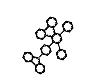 c1ccc(-c2cc(-c3ccccc3)c3c4ccccc4c4ccccc4c3c2-c2ccc(-n3c4ccccc4c4ccccc43)cc2)cc1